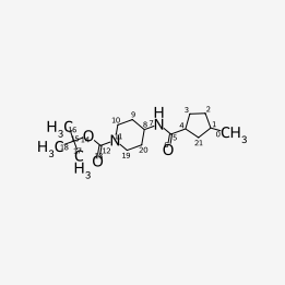 CC1CCC(C(=O)NC2CCN(C(=O)OC(C)(C)C)CC2)C1